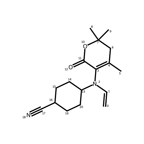 C=CN(C1=C(C)CC(C)(C)OC1=O)C1CCC(C#N)CC1